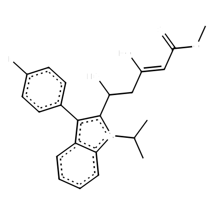 COC(=O)/C=C(\O)CC(O)c1c(-c2ccc(F)cc2)c2ccccc2n1C(C)C